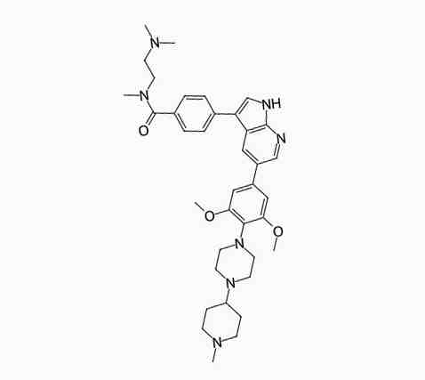 COc1cc(-c2cnc3[nH]cc(-c4ccc(C(=O)N(C)CCN(C)C)cc4)c3c2)cc(OC)c1N1CCN(C2CCN(C)CC2)CC1